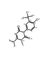 CN(C)c1nc(=O)n(-c2ccc(Cl)c(C(F)(F)F)c2)c(=O)n1C